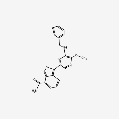 COc1nnc(-c2scc3c(C(N)=O)cccc23)nc1NCc1ccccc1